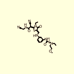 CCN(CCOC)CC(=O)Nc1cccc(NC=c2sc(=C(C#N)C(=O)NCC#N)n(CC)c2=O)c1